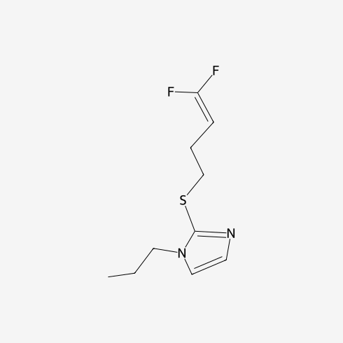 CCCn1ccnc1SCCC=C(F)F